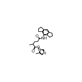 Cc1cncn1OC(=O)C(C)CCC(=O)Nc1c2c(cc3c1CCC3)CCC2